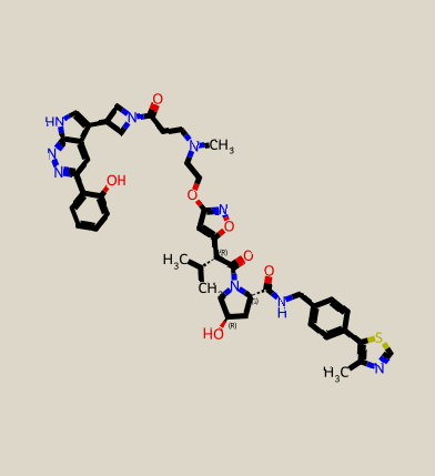 Cc1ncsc1-c1ccc(CNC(=O)[C@@H]2C[C@@H](O)CN2C(=O)[C@@H](c2cc(OCCN(C)CCC(=O)N3CC(c4c[nH]c5nnc(-c6ccccc6O)cc45)C3)no2)C(C)C)cc1